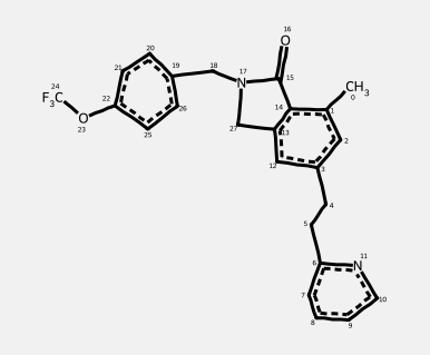 Cc1cc(CCc2ccccn2)cc2c1C(=O)N(Cc1ccc(OC(F)(F)F)cc1)C2